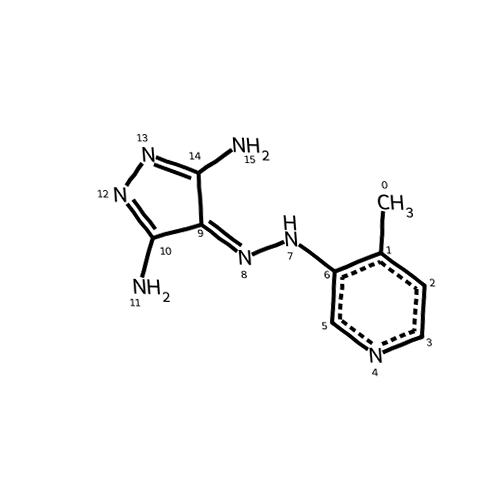 Cc1ccncc1NN=C1C(N)=NN=C1N